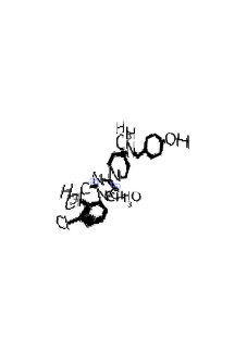 C/C(=N/C(=C\C=O)N1CCC(C)(NCC2CCC(O)CC2)CC1)N(C)c1cccc(Cl)c1Cl